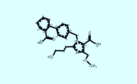 CCCCc1nc(COC)c(C(=O)O)n1Cc1ccc(-c2ccccc2C(=O)O)cc1